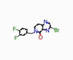 O=c1c2nc(Br)cnc2ccn1Cc1ccc(F)c(F)c1